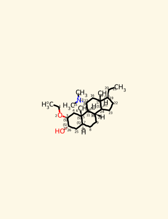 CCO[C@H]1C[C@@]2(C)[C@@H](CC[C@@H]3[C@@H]2[C@H](N(C)C)C[C@]2(C)[C@@H](CC)CC[C@@H]32)C[C@@H]1O